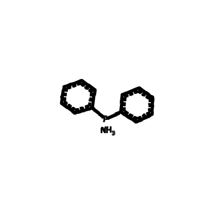 N.c1ccc([P]c2ccccc2)cc1